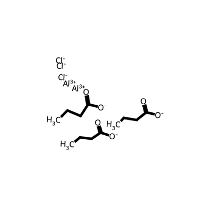 CCCC(=O)[O-].CCCC(=O)[O-].CCCC(=O)[O-].[Al+3].[Al+3].[Cl-].[Cl-].[Cl-]